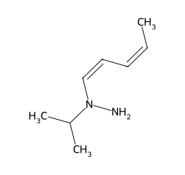 C/C=C\C=C/N(N)C(C)C